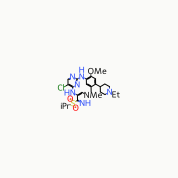 CCN1CCC(c2cc(OC)c(Nc3ncc(Cl)c(N/C(=C/NC)C(=N)S(=O)(=O)C(C)C)n3)cc2C)CC1